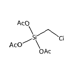 CC(=O)O[Si](CCl)(OC(C)=O)OC(C)=O